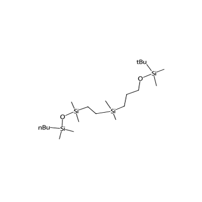 CCCC[Si](C)(C)O[Si](C)(C)CC[Si](C)(C)CCCO[Si](C)(C)C(C)(C)C